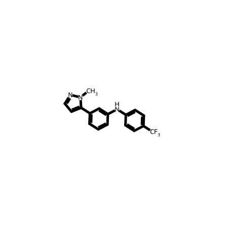 Cn1nccc1-c1cccc(Nc2ccc(C(F)(F)F)cc2)c1